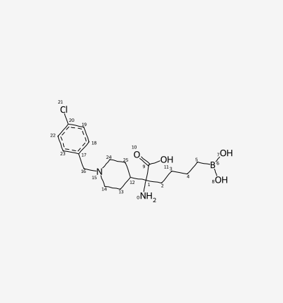 NC(CCCCB(O)O)(C(=O)O)C1CCN(Cc2ccc(Cl)cc2)CC1